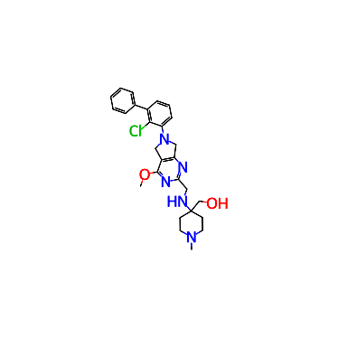 COc1nc(CNC2(CO)CCN(C)CC2)nc2c1CN(c1cccc(-c3ccccc3)c1Cl)C2